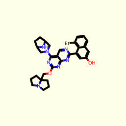 CCc1cccc2cc(O)cc(-c3ncc4c(N5CC6CCC(C5)N6)nc(OCC56CCCN5CCC6)nc4n3)c12